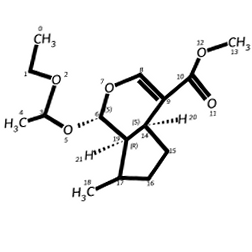 CCOC(C)O[C@@H]1OC=C(C(=O)OC)[C@H]2CCC(C)[C@@H]12